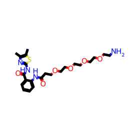 Cc1nc(NC(=O)c2ccccc2NC(=O)CCOCCOCCOCCOCCN)sc1C